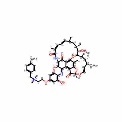 CNc1ccc(C[N+](C)(C)CCOc2cc(O)c3nc4c5c6c7c(C)c8c5c(=O)c(c-4oc3c2)NC(=O)/C(C)=C\C=C\C(C)C[C@@H](C)[C@@H](O)C(O8)C(OC(C)=O)[C@H](C)[C@@H](OC)/C=C/O[C@@](C)(O7)C6=O)cc1